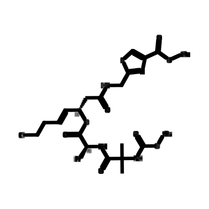 CC(C)[C@H](NC(=O)C(C)(C)NC(=O)OC(C)(C)C)C(=O)O[C@H](C=CCCCl)CC(=O)NCc1nc(C(=O)OC(C)(C)C)cs1